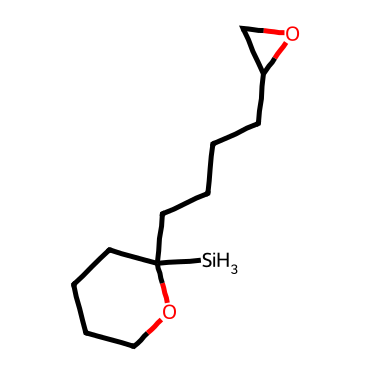 [SiH3]C1(CCCCC2CO2)CCCCO1